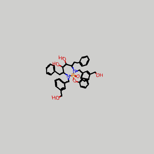 O=P1(Oc2ccccc2)N(Cc2cccc(CO)c2)C(Cc2ccccc2)C(O)C(O)C(Cc2ccccc2)N1Cc1cccc(CO)c1